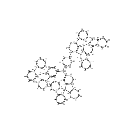 c1ccc(C2(c3ccccc3)c3ccccc3-c3ccc(N(c4ccc(-c5ccc6c(c5)C5(c7ccccc7-6)c6ccc7ccccc7c6Oc6c5ccc5ccccc65)cc4)c4ccc5c(c4)-c4ccccc4C54c5ccccc5-c5ccccc54)cc32)cc1